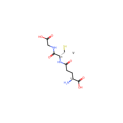 N[C@@H](CCC(=O)N[C@@H](CS)C(=O)NCC(=O)O)C(=O)O.[V]